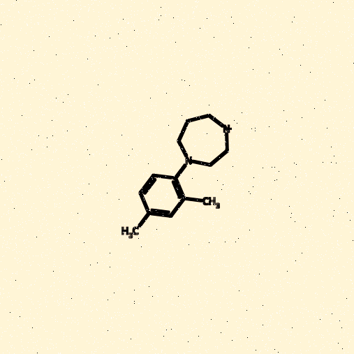 Cc1ccc(N2CCC[N]CC2)c(C)c1